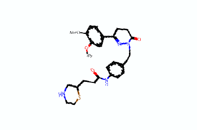 COc1ccc(C2=NN(Cc3ccc(NC(=O)CCC4CNCCS4)cc3)C(=O)CC2)cc1OC(C)C